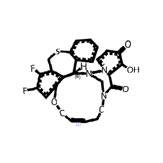 O=C1c2c(O)c(=O)ccn2N2CN1CC/C=C\COc1cc(F)c(F)c3c1[C@@H]2c1ccccc1SC3